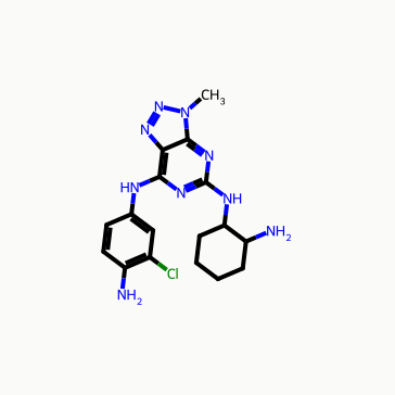 Cn1nnc2c(Nc3ccc(N)c(Cl)c3)nc(NC3CCCCC3N)nc21